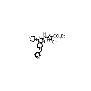 CCOC(=O)c1sc(Nc2nc3c(c(N4CCNCC4)n2)CCN(Cc2cccnc2)C3)nc1C